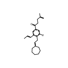 C=C(C)CCC(=O)c1cc(F)c(CC=C2CCCCCC2)c(/C=C/C)c1